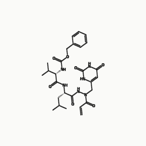 C=CC(=O)N(Cc1cc(=O)[nH]c(=O)[nH]1)NC(=O)[C@H](CC(C)C)NC(=O)[C@@H](NC(=O)OCc1ccccc1)C(C)C